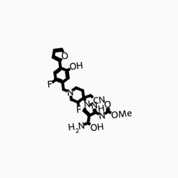 COC(=O)Nc1nn(C2(CC#N)CCN(Cc3cc(O)c(-c4ccco4)cc3F)CC2F)cc1C(N)O